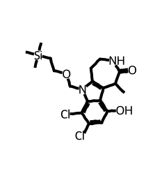 CC1C(=O)NCCc2c1c1c(O)cc(Cl)c(Cl)c1n2COCC[Si](C)(C)C